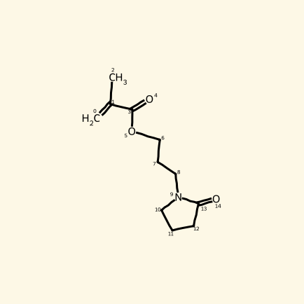 C=C(C)C(=O)OCCCN1CCCC1=O